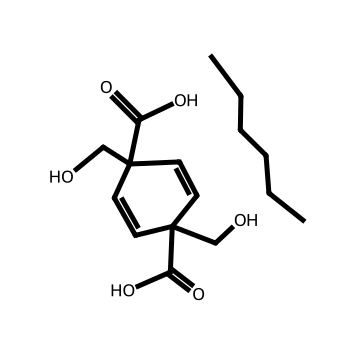 CCCCCC.O=C(O)C1(CO)C=CC(CO)(C(=O)O)C=C1